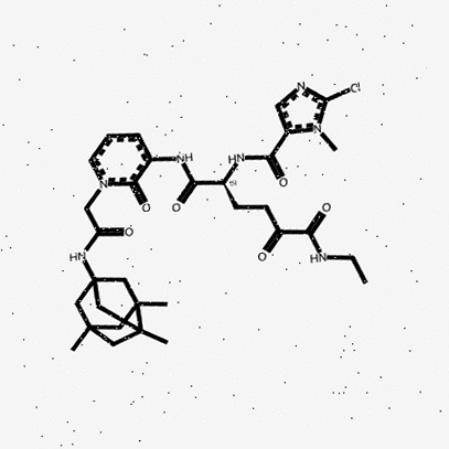 CCNC(=O)C(=O)CC[C@H](NC(=O)c1cnc(Cl)n1C)C(=O)Nc1cccn(CC(=O)NC23CC4(C)CC(C)(C2)C(C)(C4)C3)c1=O